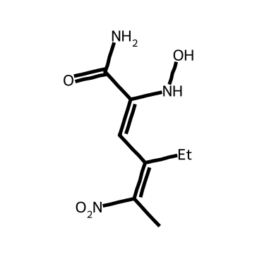 CCC(/C=C(\NO)C(N)=O)=C(\C)[N+](=O)[O-]